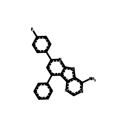 Nc1ncnc2c1sc1nc(-c3ccc(F)cc3)cc(-c3ccccc3)c12